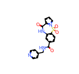 O=C(NCc1ccncc1)c1ccc2c(c1)NC(=O)c1cccn1S2(=O)=O